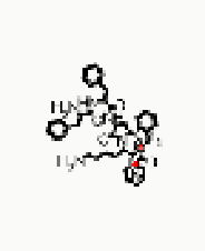 CC1CC(NC(=O)C(Cc2ccccc2)NC(=O)C(N)Cc2ccccc2)C(=O)N1C(CCCCN)C(=O)N1CC2CC(C1)N2CC(=O)OCc1ccccc1